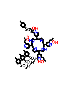 CC(O)Cc1cc(-c2c3nc(c(-c4ccnc(CC(C)O)c4)c4ccc([nH]4)c(-c4ccnc(CC(C)O)c4)c4nc(c(-c5ccnc(CC(C)O)c5)c5ccc2[nH]5)C=C4)C=C3)ccn1.Cc1ccc(S(=O)(=O)O)cc1.Cc1ccc(S(=O)(=O)O)cc1.Cc1ccc(S(=O)(=O)O)cc1.Cc1ccc(S(=O)(=O)O)cc1